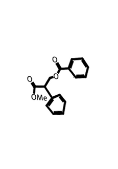 COC(=O)C(COC(=O)c1[c]cccc1)c1ccccc1